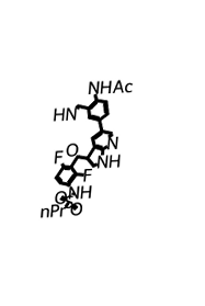 CCCS(=O)(=O)Nc1ccc(F)c(C(=O)C2CNc3ncc(-c4ccc(NC(C)=O)c(C=N)c4)cc32)c1F